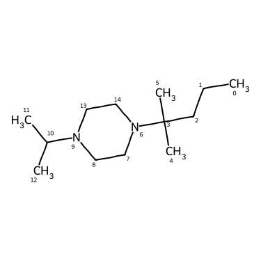 CCCC(C)(C)N1CCN(C(C)C)CC1